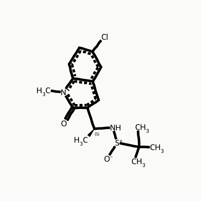 C[C@H](N[S+]([O-])C(C)(C)C)c1cc2cc(Cl)ccc2n(C)c1=O